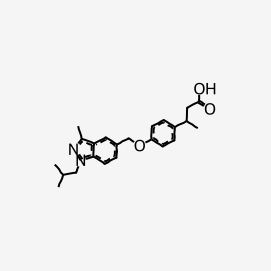 Cc1nn(CC(C)C)c2ccc(COc3ccc(C(C)CC(=O)O)cc3)cc12